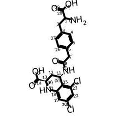 NC(Cc1ccc(CC(=O)N[C@H]2C[C@H](C(=O)O)Nc3cc(Cl)cc(Cl)c32)cc1)C(=O)O